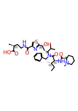 CC[C@H](C)[C@H](NC(=O)[C@H]1CCCCN1C)C(=O)N(Cc1ccccc1)[C@H](C[C@@H](O)c1nc(C(=O)NCC[C@H](C)C(=O)O)cs1)C(C)C